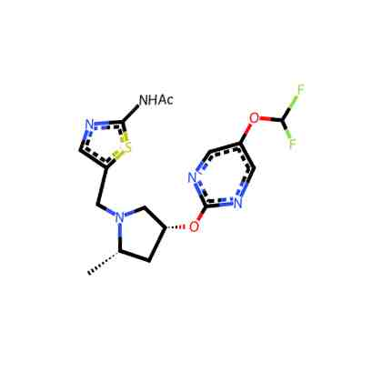 CC(=O)Nc1ncc(CN2C[C@H](Oc3ncc(OC(F)F)cn3)C[C@@H]2C)s1